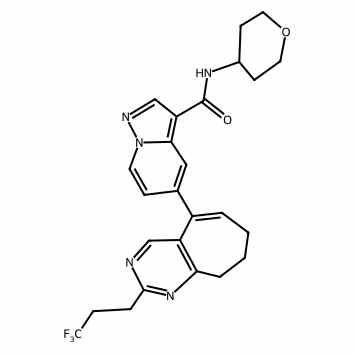 O=C(NC1CCOCC1)c1cnn2ccc(C3=CCCCc4nc(CCC(F)(F)F)ncc43)cc12